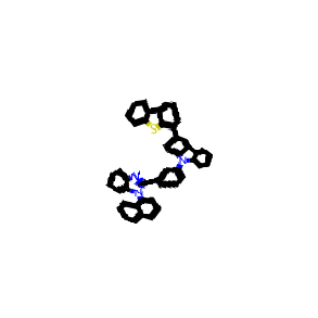 c1cc(-c2nc3ccccc3n2-c2cccc3ccccc23)cc(-n2c3ccccc3c3cc(-c4cccc5c4sc4ccccc45)ccc32)c1